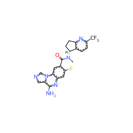 CN(C(=O)c1cc2c(cc1F)nc(N)c1cncn12)[C@@H]1CCc2nc(C(F)(F)F)ccc21